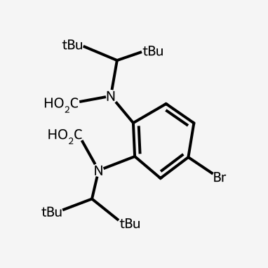 CC(C)(C)C(N(C(=O)O)c1ccc(Br)cc1N(C(=O)O)C(C(C)(C)C)C(C)(C)C)C(C)(C)C